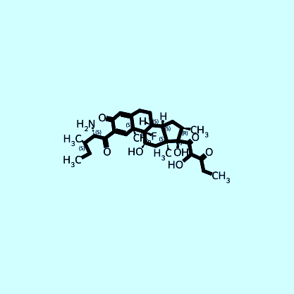 CCC(=O)C(O)C(=O)[C@@]1(O)[C@H](C)C[C@H]2[C@@H]3CCC4=CC(=O)C(C(=O)[C@@H](N)[C@@H](C)CC)=C[C@]4(C)[C@@]3(F)[C@@H](O)C[C@@]21C